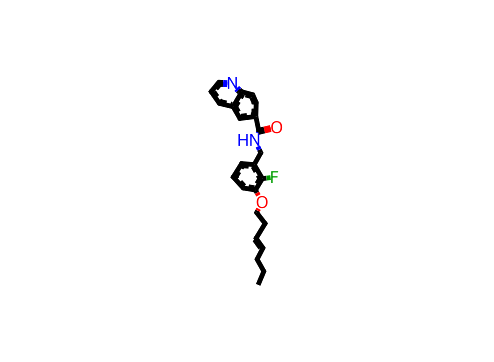 CCC/C=C/CCOc1cccc(CNC(=O)c2ccc3ncccc3c2)c1F